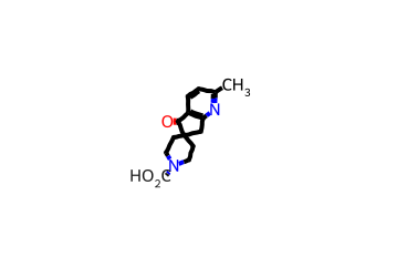 Cc1ccc2c(n1)CC1(CCN(C(=O)O)CC1)C2=O